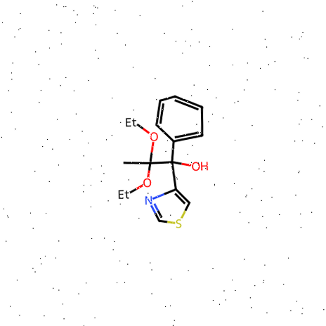 CCOC(C)(OCC)C(O)(c1ccccc1)c1cscn1